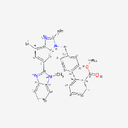 CCCc1nc2c(CC)cc(-c3nc4ccccc4n3C)cc2n1Cc1ccc(-c2ccccc2C(=O)OC(C)(C)C)cc1